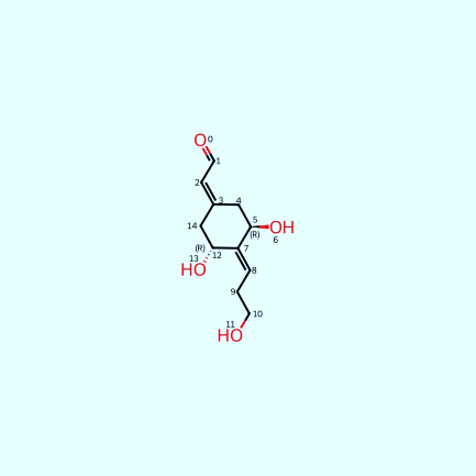 O=CC=C1C[C@@H](O)C(=CCCO)[C@H](O)C1